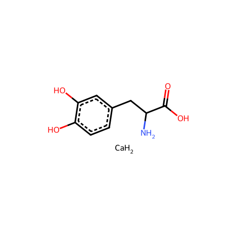 NC(Cc1ccc(O)c(O)c1)C(=O)O.[CaH2]